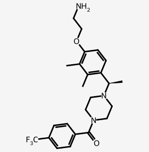 Cc1c(OCCN)ccc([C@@H](C)N2CCN(C(=O)c3ccc(C(F)(F)F)cc3)CC2)c1C